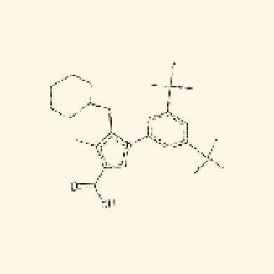 Cc1c(C(=O)O)cn(-c2cc(C(C)(C)C)cc(C(C)(C)C)c2)c1CC1CCCCC1